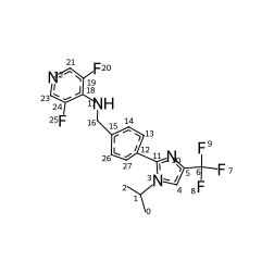 CC(C)n1cc(C(F)(F)F)nc1-c1ccc(CNc2c(F)cncc2F)cc1